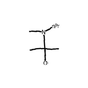 CCCN(C)C(C)(C)[O]